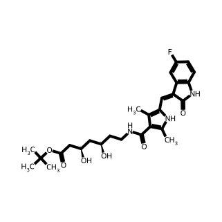 Cc1[nH]c(/C=C2\C(=O)Nc3ccc(F)cc32)c(C)c1C(=O)NCC[C@@H](O)C[C@@H](O)CC(=O)OC(C)(C)C